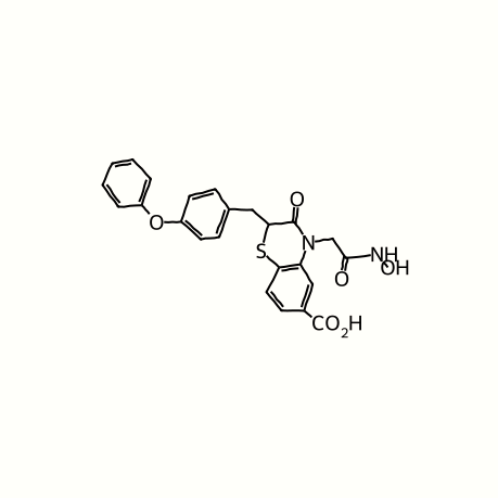 O=C(CN1C(=O)C(Cc2ccc(Oc3ccccc3)cc2)Sc2ccc(C(=O)O)cc21)NO